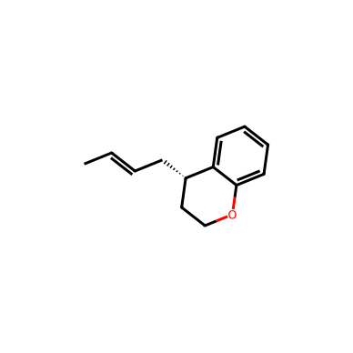 C/C=C/C[C@H]1CCOc2ccccc21